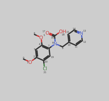 COc1cc(OC)c(N(Cc2ccncc2)C(=O)O)cc1Cl